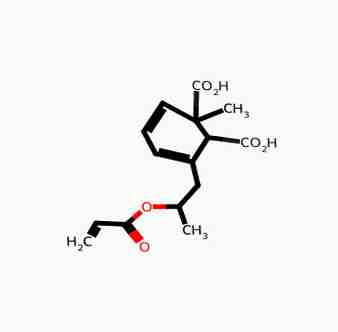 C=CC(=O)OC(C)CC1=CC=CC(C)(C(=O)O)C1C(=O)O